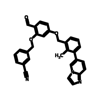 Cc1c(COc2ccc(C=O)c(OCc3cccc(C#N)c3)c2)cccc1-c1ccc2nccn2c1